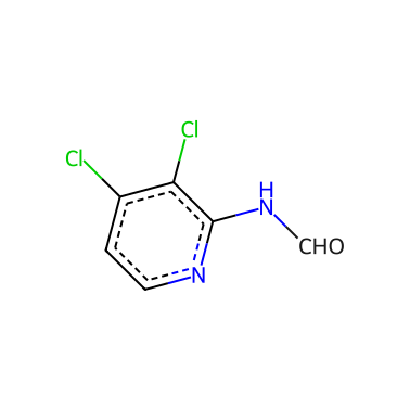 O=CNc1nccc(Cl)c1Cl